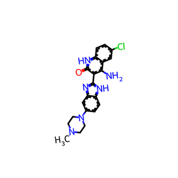 CN1CCN(c2ccc3[nH]c(-c4c(N)c5cc(Cl)ccc5[nH]c4=O)nc3c2)CC1